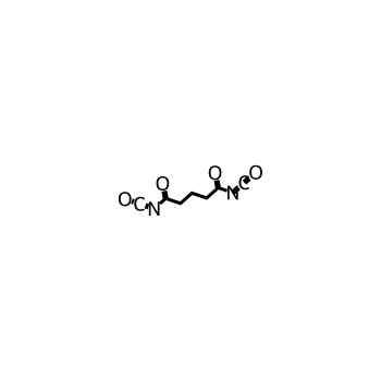 O=C=NC(=O)CCCC(=O)N=C=O